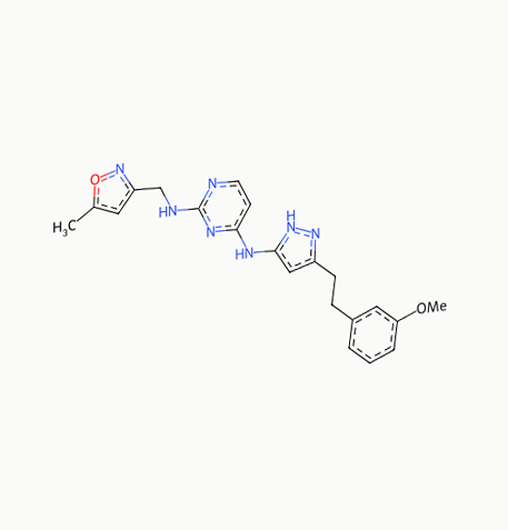 COc1cccc(CCc2cc(Nc3ccnc(NCc4cc(C)on4)n3)[nH]n2)c1